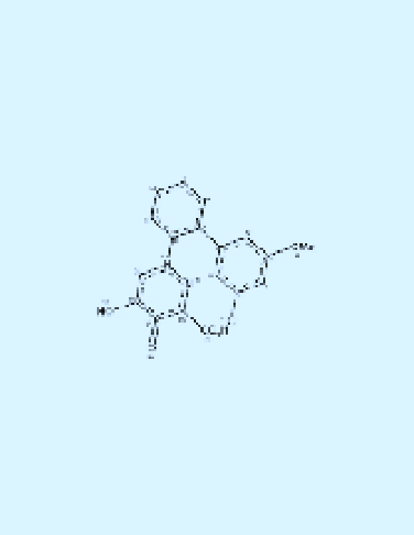 COc1cc(Cl)cc(-c2ccccc2-n2cc(O)c(=O)c(C(=O)O)n2)c1